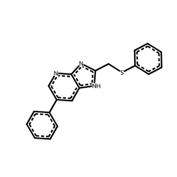 c1ccc(SCc2nc3ncc(-c4ccccc4)cc3[nH]2)cc1